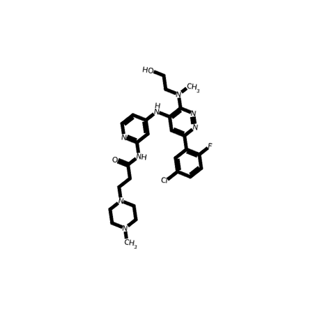 CN1CCN(CCC(=O)Nc2cc(Nc3cc(-c4cc(Cl)ccc4F)nnc3N(C)CCO)ccn2)CC1